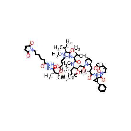 CC[C@H](C)[C@@H]([C@@H](CC(=O)N1CCC[C@H]1[C@H](OC)[C@@H](C)C(=O)N[C@@]1(C(=O)N2CCCCO2)C[C@@H]1c1ccccc1)OC)N(C)C(=O)[C@@H](NC(=O)[C@H](C(C)C)N(C)CCCC(=O)O[C@H](C)[C@H](C)C(=O)NNC(=O)CCCCCN1C(=O)C=CC1=O)C(C)C